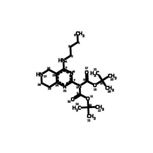 CCCCNc1nc(N(C(=O)OC(C)(C)C)C(=O)OC(C)(C)C)nc2c1CNCC2